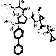 C=C[C@@H]1C[C@]1(NC(=O)[C@@H]1C[C@](c2ccc(-c3ccccc3)cc2)([S@+]([O-])CCCC)CN1C(=O)[C@@H](N(C(=O)O)C(C)(C)C)C(C)(C)C)C(=O)NS(=O)(=O)C1CC1